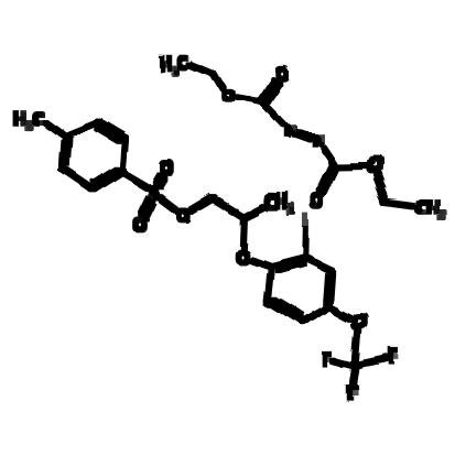 CCOC(=O)N=NC(=O)OCC.Cc1ccc(S(=O)(=O)OCC(C)Oc2ccc(OC(F)(F)F)cc2I)cc1